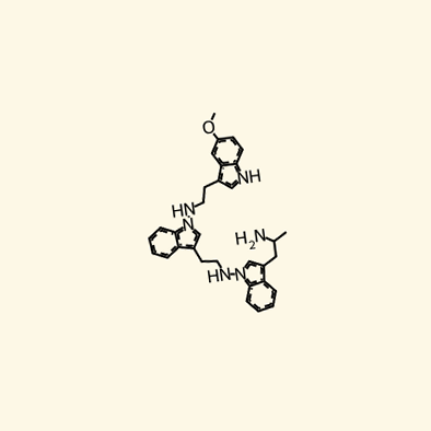 COc1ccc2[nH]cc(CCNn3cc(CCNn4cc(CC(C)N)c5ccccc54)c4ccccc43)c2c1